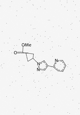 COC(=O)C1CC(n2cc(-c3ccccn3)cn2)C1